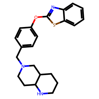 c1ccc2sc(Oc3ccc(CN4CCC5NCCCC5C4)cc3)nc2c1